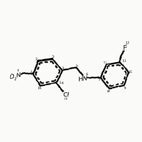 O=[N+]([O-])c1ccc(CNc2cccc(F)c2)c(Cl)c1